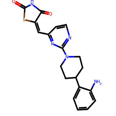 Nc1ccccc1C1CCN(c2nccc(C=C3SC(=O)NC3=O)n2)CC1